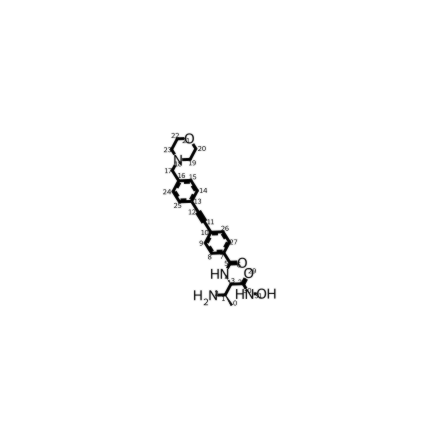 C[C@@H](N)[C@H](NC(=O)c1ccc(C#Cc2ccc(CN3CCOCC3)cc2)cc1)C(=O)NO